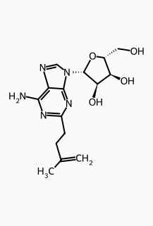 C=C(C)CCc1nc(N)c2ncn([C@@H]3O[C@H](CO)[C@@H](O)[C@H]3O)c2n1